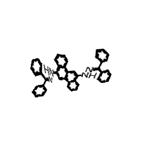 c1ccc(C(=NNc2cc3c4ccccc4c(NN=C(c4ccccc4)c4ccccc4)cc3c3ccccc23)c2ccccc2)cc1